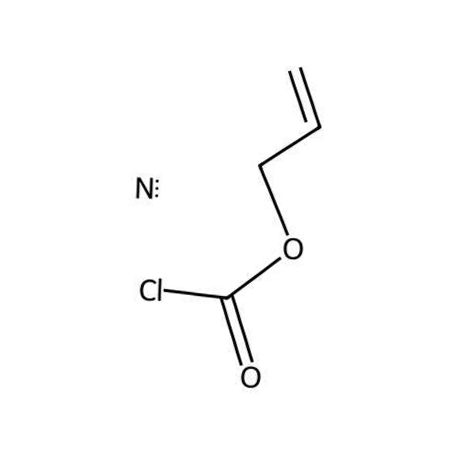 C=CCOC(=O)Cl.[N]